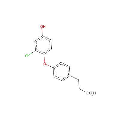 O=C(O)CCc1ccc(Oc2ccc(O)cc2Cl)cc1